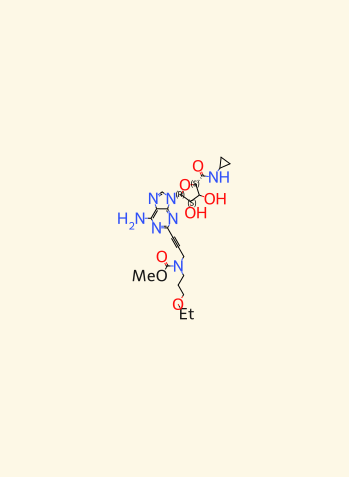 CCOCCCN(CC#Cc1nc(N)c2ncn([C@@H]3O[C@H](C(=O)NC4CC4)C(O)[C@@H]3O)c2n1)C(=O)OC